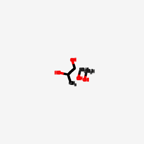 CC(O)CO.O=S(=O)(O)O.O=S(=O)(O)O